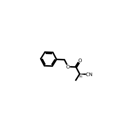 C[C@H](C#N)C(=O)OCc1ccccc1